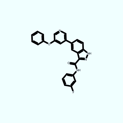 O=C(Nc1cccc(F)c1)c1n[nH]c2ccc(-c3cncc(Oc4ccccc4)c3)cc12